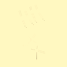 C=C=N.C=C=N.C=C=N.C=C=N.O=P(O)(O)OP(=O)(O)O